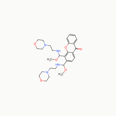 COC(NCCN1CCOCC1)c1ccc2c(=O)c3ccccc3oc2c1C(NCCN1CCOCC1)OC